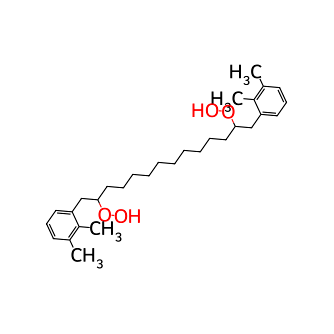 Cc1cccc(CC(CCCCCCCCCCC(Cc2cccc(C)c2C)OO)OO)c1C